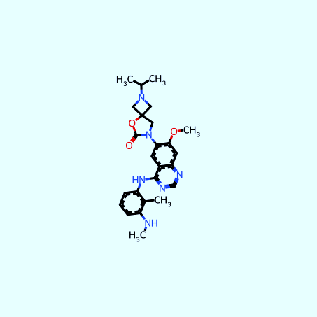 CNc1cccc(Nc2ncnc3cc(OC)c(N4CC5(CN(C(C)C)C5)OC4=O)cc23)c1C